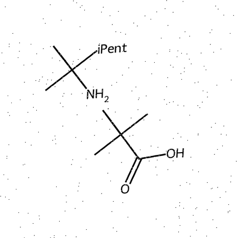 CC(C)(C)C(=O)O.CCCC(C)C(C)(C)N